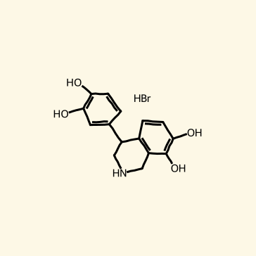 Br.Oc1ccc(C2CNCc3c2ccc(O)c3O)cc1O